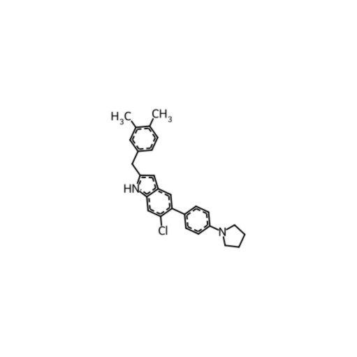 Cc1ccc(Cc2cc3cc(-c4ccc(N5CCCC5)cc4)c(Cl)cc3[nH]2)cc1C